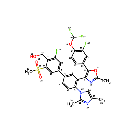 Cc1nc(-c2cc(-c3cc(F)c(CO)c(S(C)(=O)=O)c3)ccc2-n2cc(C(F)(F)F)nc2C)c(-c2ccc(OC(F)F)c(F)c2)o1